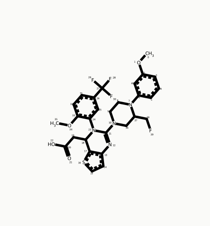 COc1cccc(N2CCN(C3=Nc4ccsc4C(CC(=O)O)N3c3cc(C(F)(F)F)ccc3OC)CC2CF)c1